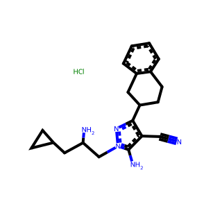 Cl.N#Cc1c(C2CCc3ccccc3C2)nn(CC(N)CC2CC2)c1N